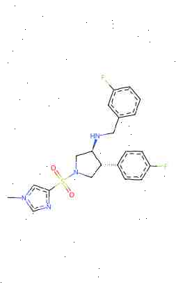 Cn1cnc(S(=O)(=O)N2C[C@@H](NCc3cccc(F)c3)[C@H](c3ccc(F)cc3)C2)c1